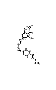 CCOC(=O)N1CCC([C@H]2C[C@H]2CCOc2cc(F)c(C(=O)C3CC3)c(F)c2)CC1